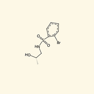 C[C@H](O)CNS(=O)(=O)c1ccccc1Br